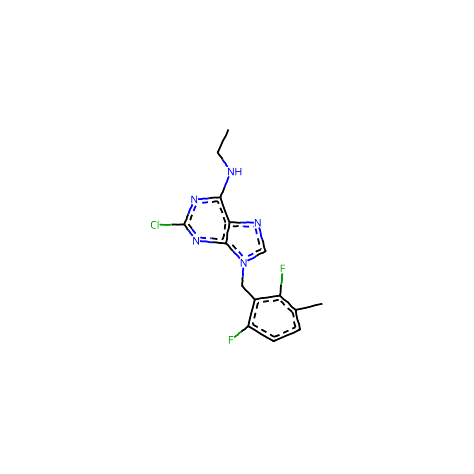 CCNc1nc(Cl)nc2c1ncn2Cc1c(F)ccc(C)c1F